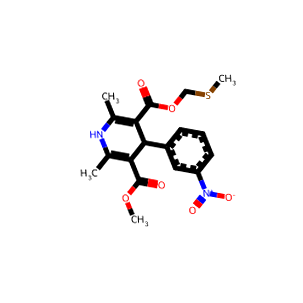 COC(=O)C1=C(C)NC(C)=C(C(=O)OCSC)C1c1cccc([N+](=O)[O-])c1